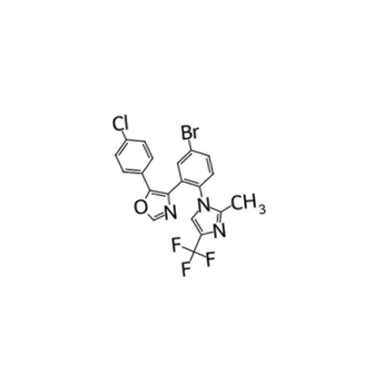 Cc1nc(C(F)(F)F)cn1-c1ccc(Br)cc1-c1ncoc1-c1ccc(Cl)cc1